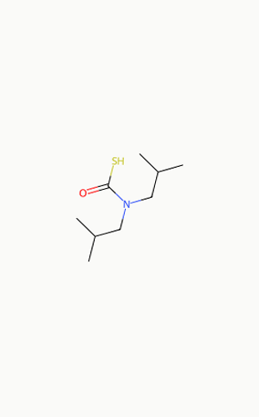 CC(C)CN(CC(C)C)C(=O)S